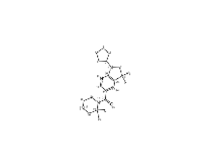 CC1(C)CN(C2CCCC2)c2ncc(C(=O)N3CCNCC3(C)C)nc21